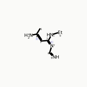 CCNC(/C=C(\C)N)=N/C=N